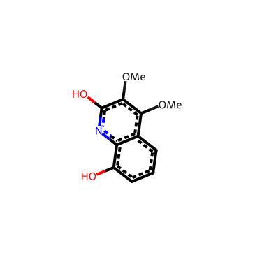 COc1c(O)nc2c(O)cccc2c1OC